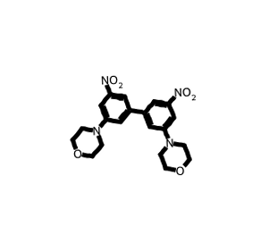 O=[N+]([O-])c1cc(-c2cc(N3CCOCC3)cc([N+](=O)[O-])c2)cc(N2CCOCC2)c1